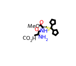 COC(=O)[C@H](CSC(C1CCCC1)C1CCCC1)NC(=O)[C@@H](N)CC(=O)O